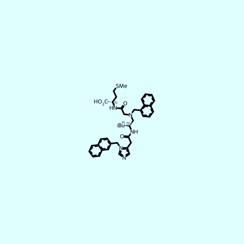 CC[C@H](C)[C@@H](CN(CC(=O)N[C@@H](CCSC)C(=O)O)Cc1cccc2ccccc12)NC(=O)Cc1cncn1Cc1ccc2ccccc2c1